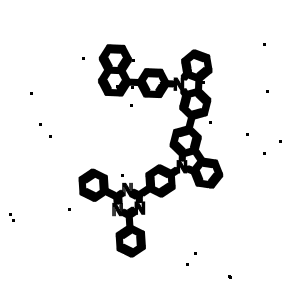 c1ccc(-c2nc(-c3ccccc3)nc(-c3ccc(-n4c5ccccc5c5cc(-c6ccc7c8ccccc8n(-c8ccc(-c9cccc%10ccccc9%10)cc8)c7c6)ccc54)cc3)n2)cc1